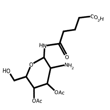 CC(=O)OC1C(CO)OC(NC(=O)CCCC(=O)O)C(N)C1OC(C)=O